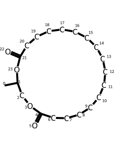 CC1COC(=O)CCCCCCCCCCCCCCCC(=O)O1